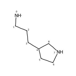 [NH]CCCC1CCNC1